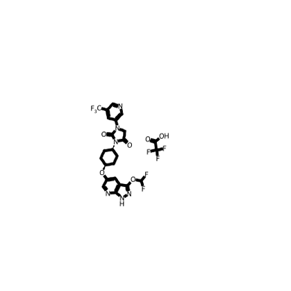 O=C(O)C(F)(F)F.O=C1CN(c2cncc(C(F)(F)F)c2)C(=O)N1[C@H]1CC[C@H](Oc2cnc3[nH]nc(OC(F)F)c3c2)CC1